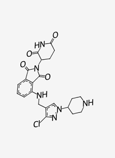 O=C1CCC(N2C(=O)c3cccc(NCc4cn(C5CCNCC5)nc4Cl)c3C2=O)C(=O)N1